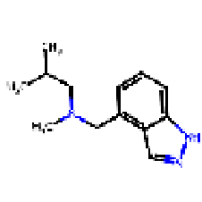 CC(C)CN(C)Cc1cccc2[nH]ncc12